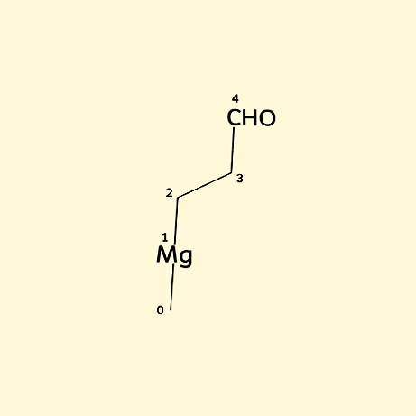 [CH3][Mg][CH2]CC=O